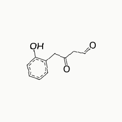 O=CCC(=O)Cc1ccccc1O